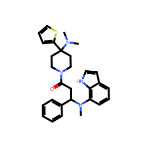 CN(c1cccc2cc[nH]c12)C(CC(=O)N1CCC(c2cccs2)(N(C)C)CC1)c1ccccc1